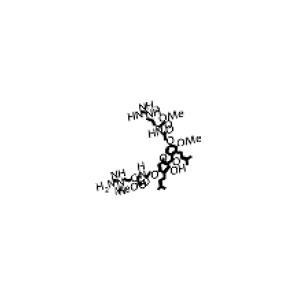 COC(=O)[C@H](CCCNC(=N)N)NC(=O)COc1cc2oc3cc(OCC(=O)N[C@@H](CCCNC(=N)N)C(=O)OC)c(OC)c(CC=C(C)C)c3c(=O)c2c(O)c1CC=C(C)C